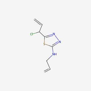 C=CCNc1nnc(C(Cl)C=C)s1